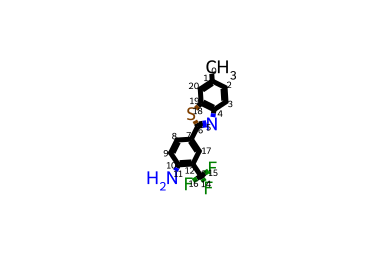 Cc1ccc2nc(-c3ccc(N)c(C(F)(F)F)c3)sc2c1